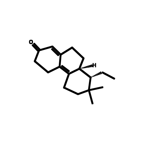 CC[C@H]1[C@@H]2CCC3=CC(=O)CCC3=C2CCC1(C)C